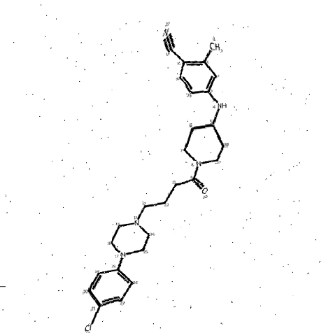 Cc1cc(NC2CCN(C(=O)CCCN3CCN(c4ccc(Cl)cc4)CC3)CC2)ccc1C#N